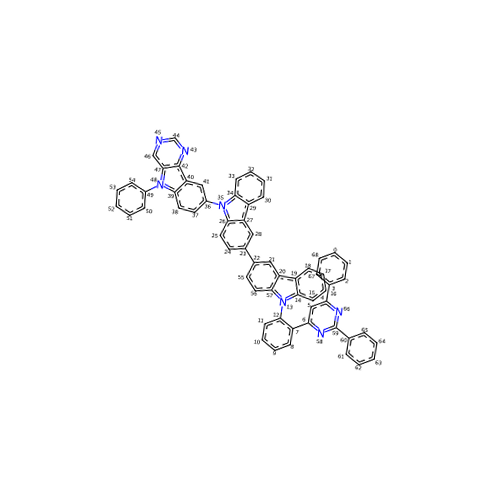 c1ccc(-c2cc(-c3ccccc3-n3c4ccccc4c4cc(-c5ccc6c(c5)c5ccccc5n6-c5ccc6c(c5)c5ncncc5n6-c5ccccc5)ccc43)nc(-c3ccccc3)n2)cc1